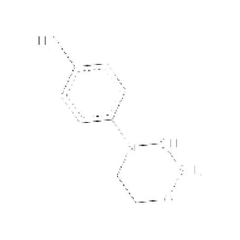 Nc1ccc([SiH]2CCO[SiH2][SiH2]2)cc1